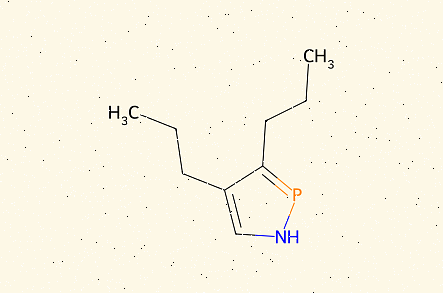 CCCc1c[nH]pc1CCC